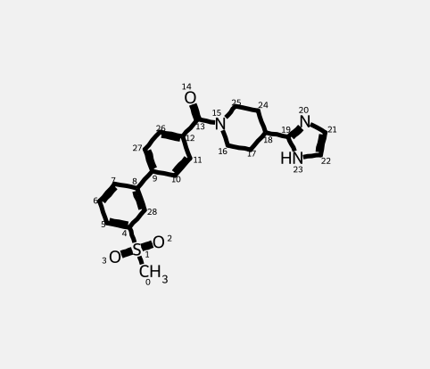 CS(=O)(=O)c1cccc(-c2ccc(C(=O)N3CCC(c4ncc[nH]4)CC3)cc2)c1